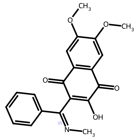 C/N=C(\C1=C(O)C(=O)c2cc(OC)c(OC)cc2C1=O)c1ccccc1